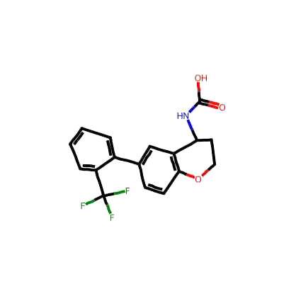 O=C(O)NC1CCOc2ccc(-c3ccccc3C(F)(F)F)cc21